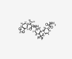 NS(=O)(=O)c1cccc(-c2cc(NC(=O)C3(c4ccc5c(c4)OCO5)CC3)ccc2C(F)(F)F)c1